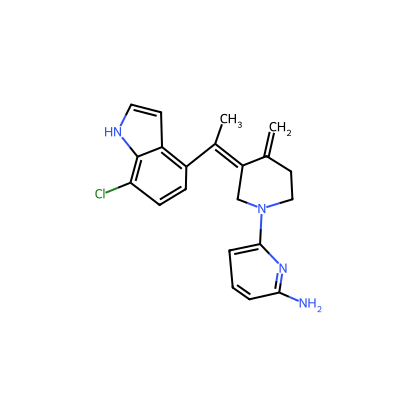 C=C1CCN(c2cccc(N)n2)C/C1=C(/C)c1ccc(Cl)c2[nH]ccc12